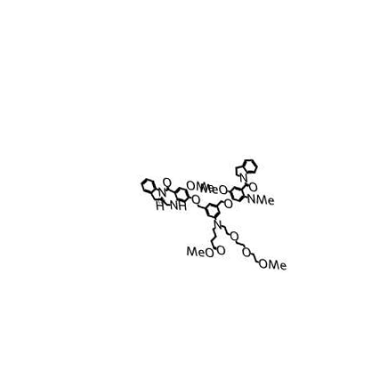 CNc1cc(OCc2cc(COc3cc4c(cc3OC)C(=O)N3c5ccccc5C[C@H]3CN4)cc(N(CCCC(=O)OC)CCOCCOCCOC)c2)c(OC)cc1C(=O)N1CCc2ccccc21